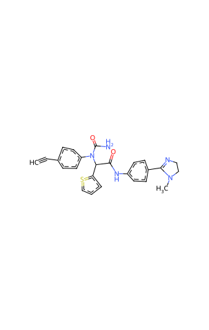 C#Cc1ccc(N(C(N)=O)C(C(=O)Nc2ccc(C3=NCCN3C)cc2)c2cccs2)cc1